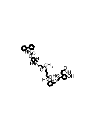 CN(CCCCC(=O)Nc1cccc(CNC[C@H](O)c2ccc(O)c3[nH]c(=O)ccc23)c1)C(=O)CCN1C[C@H]2CC(OC(=O)Nc3ccccc3-c3ccccc3)C[C@@H]2C1